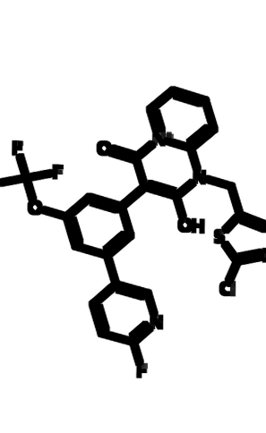 O=c1c(-c2cc(OC(F)(F)F)cc(-c3ccc(F)nc3)c2)c(O)n(Cc2cnc(Cl)s2)c2cccc[n+]12